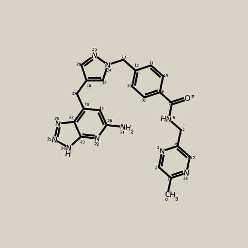 Cc1cnc(CNC(=O)c2ccc(Cn3cc(Cc4cc(N)nc5[nH]nnc45)cn3)cc2)cn1